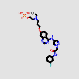 CCN(CCCOc1ccc2c(Nc3cnn(CC(=O)Nc4cccc(F)c4)c3)ncnc2c1)CCOP(=O)(O)O